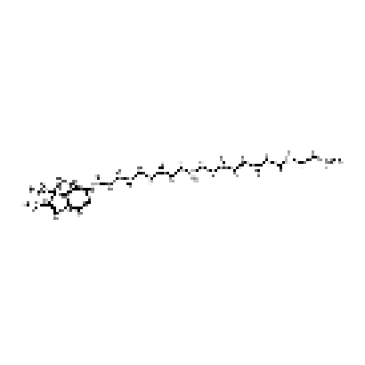 COCCOCCOCCOCCOCCOCCOCCOc1ccc2c(c1)C(C)(C)C(C)=N2